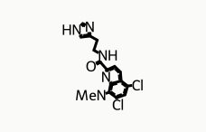 CNc1c(Cl)cc(Cl)c2ccc(C(=O)NCCc3c[nH]cn3)nc12